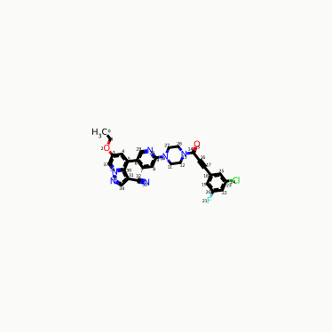 CCOc1cc(-c2ccc(N3CCN(C(=O)C#Cc4cc(F)cc(Cl)c4)CC3)nc2)c2c(C#N)cnn2c1